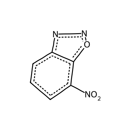 O=[N+]([O-])c1cccc2nnoc12